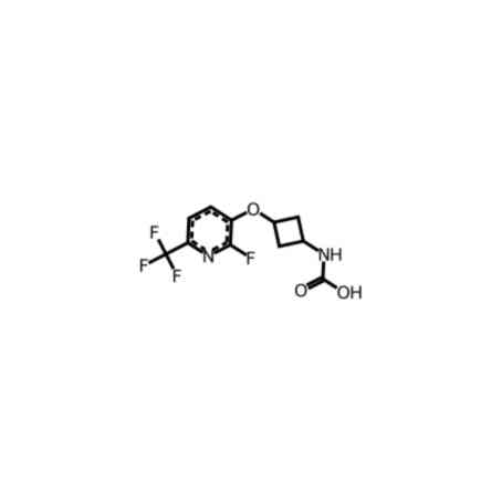 O=C(O)NC1CC(Oc2ccc(C(F)(F)F)nc2F)C1